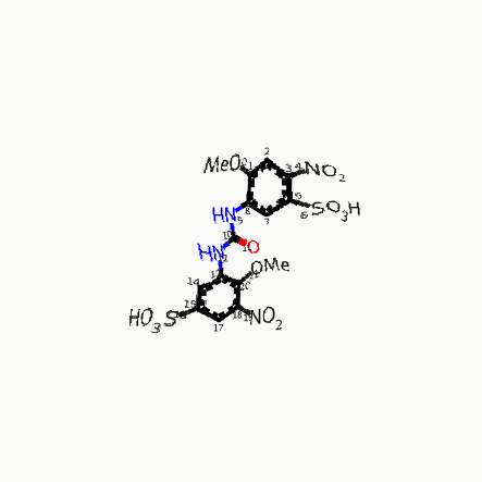 COc1cc([N+](=O)[O-])c(S(=O)(=O)O)cc1NC(=O)Nc1cc(S(=O)(=O)O)cc([N+](=O)[O-])c1OC